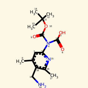 Cc1cc(N(C(=O)O)C(=O)OC(C)(C)C)nc(C)c1CN